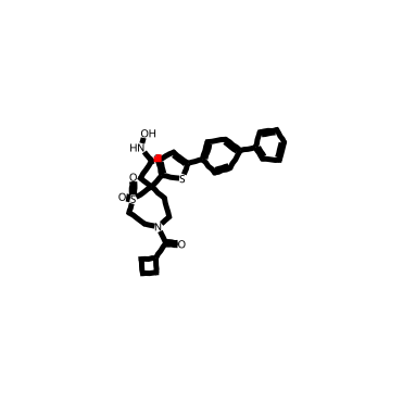 O=C(CC1(c2ccc(-c3ccc(-c4ccccc4)cc3)s2)CCN(C(=O)C2CCC2)CCS1(=O)=O)NO